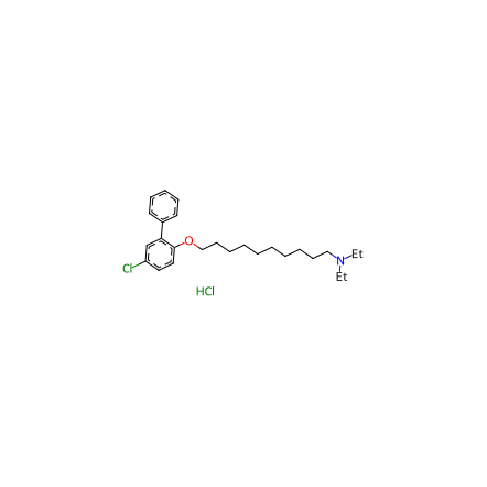 CCN(CC)CCCCCCCCCCOc1ccc(Cl)cc1-c1ccccc1.Cl